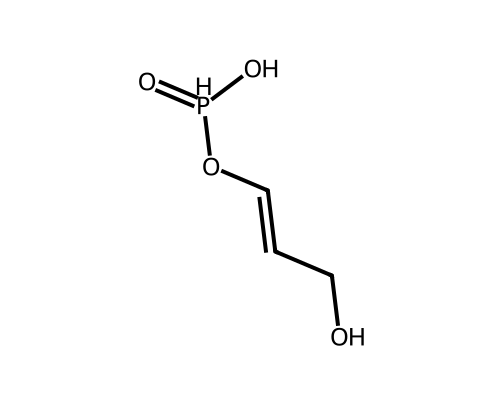 O=[PH](O)O/C=C/CO